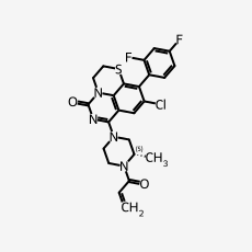 C=CC(=O)N1CCN(c2nc(=O)n3c4c(c(-c5ccc(F)cc5F)c(Cl)cc24)SCC3)C[C@@H]1C